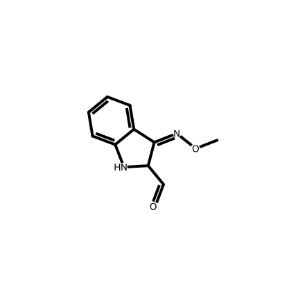 CON=C1c2ccccc2NC1C=O